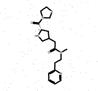 CN(CCc1ccccn1)C(=O)CC1CN[C@H](C(=O)N2CCSC2)C1